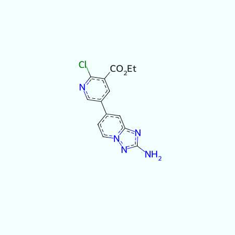 CCOC(=O)c1cc(-c2ccn3nc(N)nc3c2)cnc1Cl